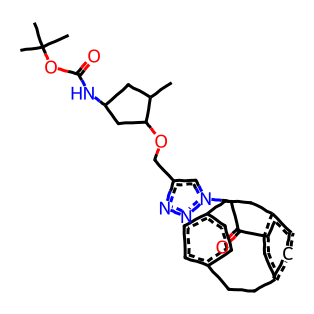 CC1CC(NC(=O)OC(C)(C)C)CC1OCc1cn(CC(=O)c2cc3ccc2CCc2ccc(cc2)CC3)nn1